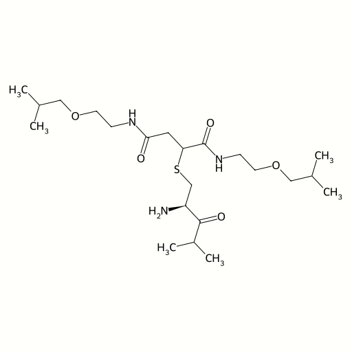 CC(C)COCCNC(=O)CC(SC[C@H](N)C(=O)C(C)C)C(=O)NCCOCC(C)C